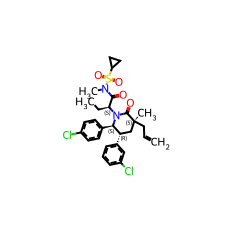 C=CC[C@@]1(C)C[C@H](c2cccc(Cl)c2)[C@@H](c2ccc(Cl)cc2)N([C@@H](CC)C(=O)N(C)S(=O)(=O)C2CC2)C1=O